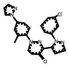 Cc1cc(-n2cccn2)ccc1-n1ccc(=O)c(-c2ccnn2-c2cccc(Cl)c2)n1